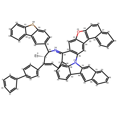 CC[C@H]1/C(c2ccc(-c3ccccc3)cc2)=C/CC(C)/C(c2cc3oc4ccc5ccccc5c4c3cc2-n2c3ccccc3c3cc4ccccc4cc32)=N\C1c1ccc2sc3ccccc3c2c1